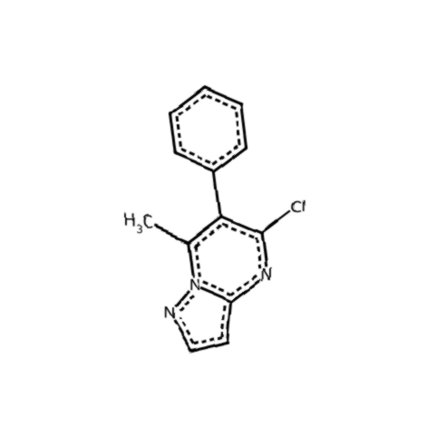 Cc1c(-c2ccccc2)c(Cl)nc2ccnn12